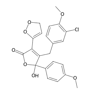 COc1ccc(C2(O)OC(=O)C(C3=CCOO3)=C2Cc2ccc(OC)c(Cl)c2)cc1